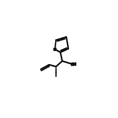 C=CC(C)C(O)c1ccco1